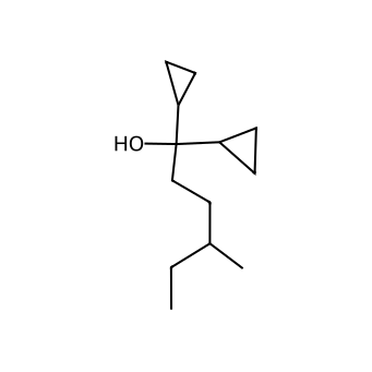 CCC(C)CCC(O)(C1CC1)C1CC1